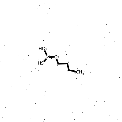 CCCCOP(O)S